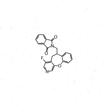 O=C1c2ccccc2C(=O)N1CC1Cc2c(F)cncc2Oc2ccccc21